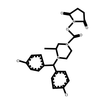 CC1CN(C(=O)ON2C(=O)CCC2=O)CCN1C(c1ccc(Cl)cc1)c1ccc(Cl)cc1